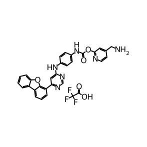 NCc1ccnc(OC(=O)Nc2ccc(Nc3cc(-c4cccc5c4oc4ccccc45)ncn3)cc2)c1.O=C(O)C(F)(F)F